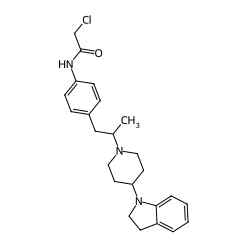 CC(Cc1ccc(NC(=O)CCl)cc1)N1CCC(N2CCc3ccccc32)CC1